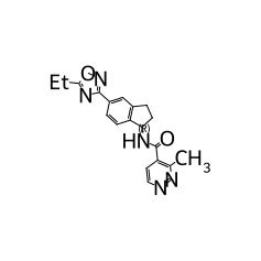 CCc1nc(-c2ccc3c(c2)CC[C@H]3NC(=O)c2ccnnc2C)no1